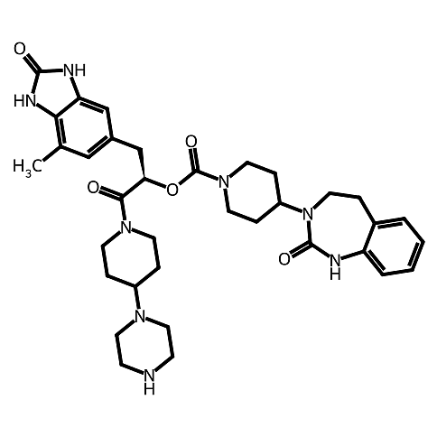 Cc1cc(C[C@@H](OC(=O)N2CCC(N3CCc4ccccc4NC3=O)CC2)C(=O)N2CCC(N3CCNCC3)CC2)cc2[nH]c(=O)[nH]c12